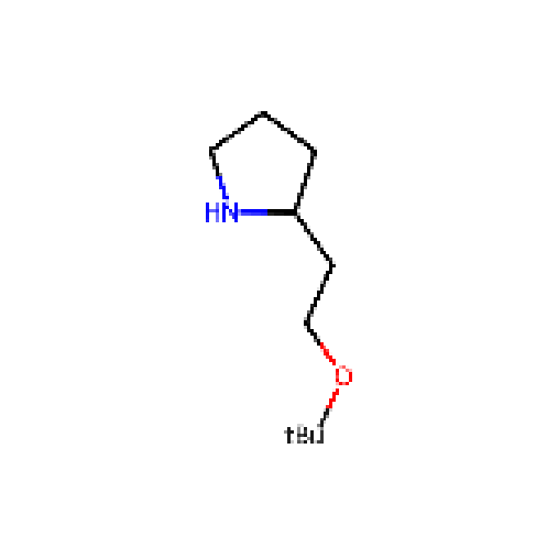 CC(C)(C)OCCC1CCCN1